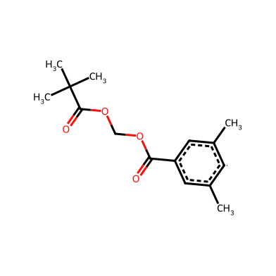 Cc1[c]c(C)cc(C(=O)OCOC(=O)C(C)(C)C)c1